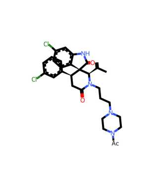 C=C(C)[C@H]1N(CCCN2CCN(C(C)=O)CC2)C(=O)C[C@@H](c2cccc(Cl)c2)[C@]12C(=O)Nc1cc(Cl)ccc12